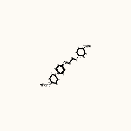 CCCCC[C@H]1CC[C@H](c2ccc(OCCC[C@H]3CC[C@H](CCCC)CC3)cc2)CC1